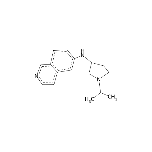 CC(C)N1CCC(Nc2ccc3cnccc3c2)C1